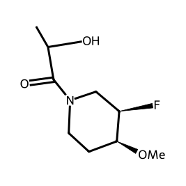 CO[C@H]1CCN(C(=O)C(C)O)C[C@H]1F